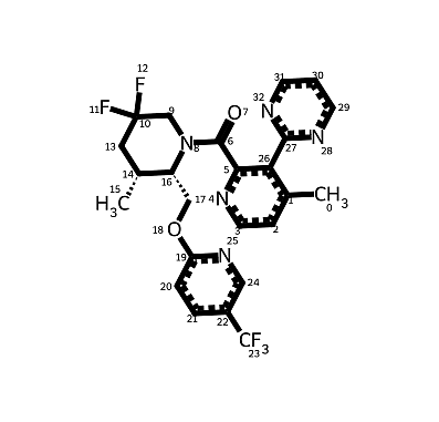 Cc1ccnc(C(=O)N2CC(F)(F)C[C@@H](C)[C@H]2COc2ccc(C(F)(F)F)cn2)c1-c1ncccn1